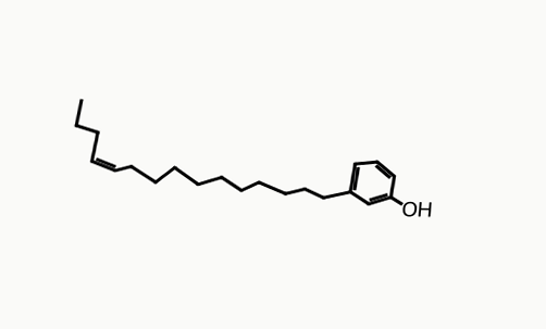 CCC/C=C\CCCCCCCCCCc1cccc(O)c1